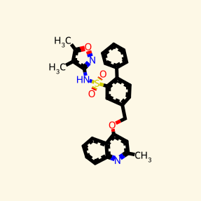 Cc1cc(OCc2ccc(-c3ccccc3)c(S(=O)(=O)Nc3noc(C)c3C)c2)c2ccccc2n1